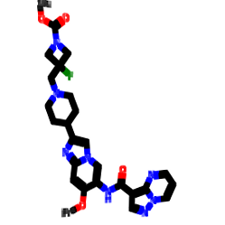 CC(C)Oc1cc2nc(C3CCN(CC4(F)CN(C(=O)OC(C)(C)C)C4)CC3)cn2cc1NC(=O)c1cnn2cccnc12